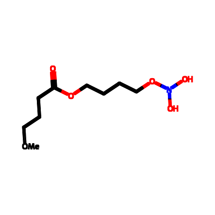 COCCCC(=O)OCCCCON(O)O